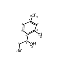 OC(CBr)c1ccc(C(F)(F)F)cc1Cl